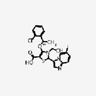 CCN1C(O[C@H](C)c2ccccc2Cl)=C(C(=O)O)SC1c1cnc2ccc(I)cn12